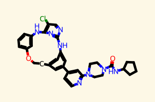 O=C(NC1CCCC1)N1CCN(c2cc(-c3cc4cc(c3)Nc3ncc(Cl)c(n3)Nc3cccc(c3)OCC4)ccn2)CC1